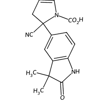 CC1(C)C(=O)Nc2ccc(C3(C#N)CC=CN3C(=O)O)cc21